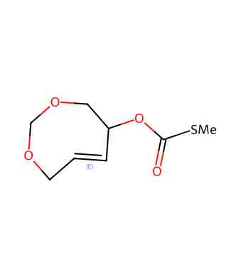 CSC(=O)OC1/C=C/COCOC1